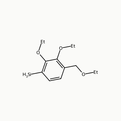 CCOCc1ccc([SiH3])c(OCC)c1OCC